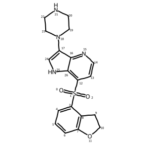 O=S(=O)(c1cccc2c1CCO2)c1ccnc2c(N3CCNCC3)c[nH]c12